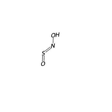 O=S=NO